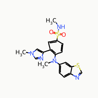 CNS(=O)(=O)c1ccc(N(C)c2ccc3ncsc3c2)c(-c2cn(C)cn2)c1